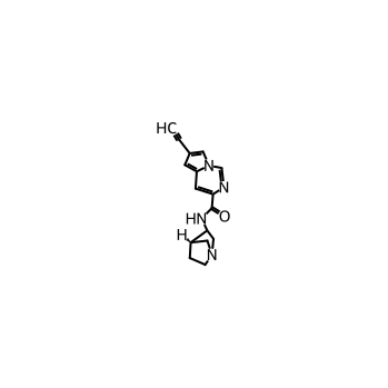 C#Cc1cc2cc(C(=O)NC3CN4CC[C@H]3C4)ncn2c1